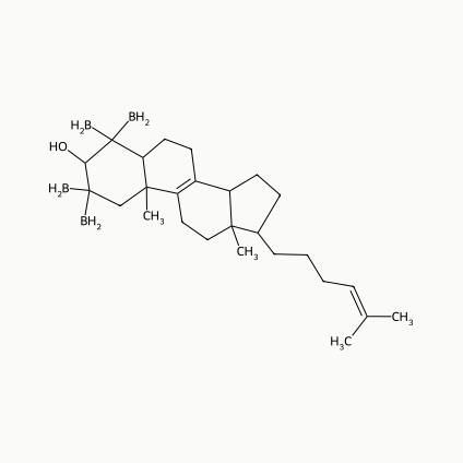 BC1(B)CC2(C)C3=C(CCC2C(B)(B)C1O)C1CCC(CCCC=C(C)C)C1(C)CC3